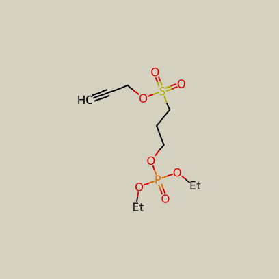 C#CCOS(=O)(=O)CCCOP(=O)(OCC)OCC